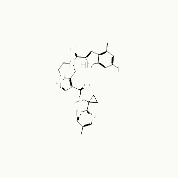 Cc1cnc(C2(N(C)C(=O)c3cnn4c3CN(C(=O)c3cc5c(C)cc(F)cc5[nH]3)CC4)CC2)nc1